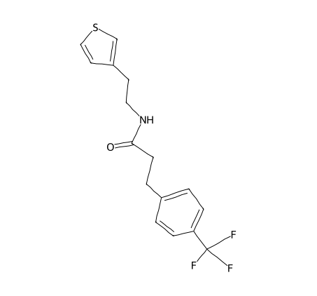 O=C(CCc1ccc(C(F)(F)F)cc1)NCCc1ccsc1